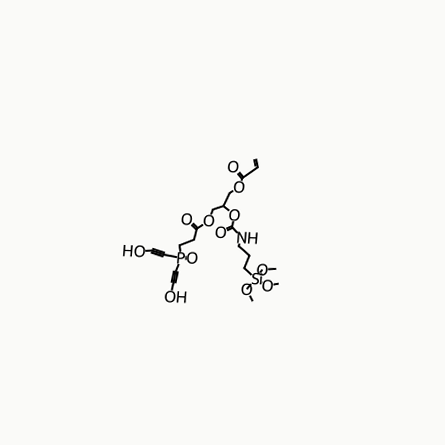 C=CC(=O)OCC(COC(=O)CCP(=O)(C#CO)C#CO)OC(=O)NCCC[Si](OC)(OC)OC